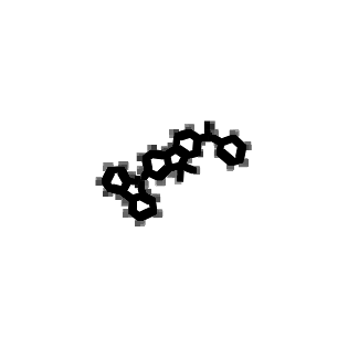 CC1(C)c2cc(NC3C=CC=CC3)ccc2-c2ccc(-n3c4ccccc4c4ccccc43)cc21